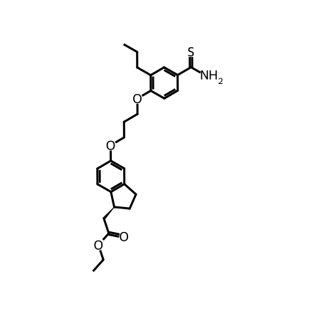 CCCc1cc(C(N)=S)ccc1OCCCOc1ccc2c(c1)CC[C@H]2CC(=O)OCC